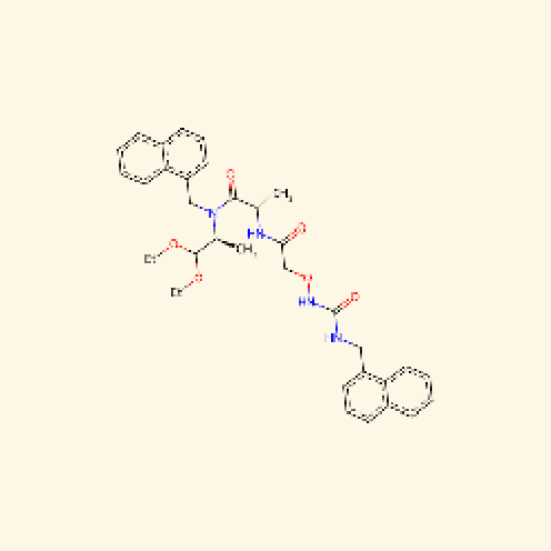 CCOC(OCC)[C@H](C)N(Cc1cccc2ccccc12)C(=O)[C@H](C)NC(=O)CONC(=O)NCc1cccc2ccccc12